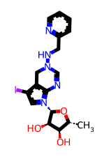 C[C@H]1O[C@@H](n2cc(I)c3c2N=CN(NCc2ccccn2)C3)[C@H](O)[C@@H]1O